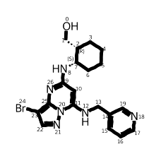 OC[C@@H]1CCCC[C@@H]1Nc1cc(NCc2cccnc2)n2ncc(Br)c2n1